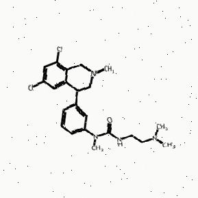 CN(C)CCNC(=O)N(C)c1cccc(C2CN(C)Cc3c(Cl)cc(Cl)cc32)c1